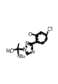 CCCCC(C)(O)n1cnc(-c2ccc(Cl)cc2Cl)n1